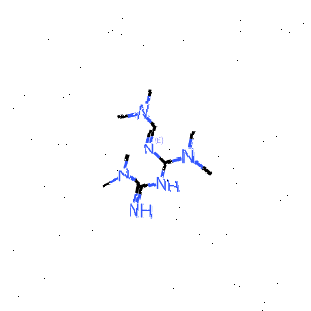 CN(C)/C=N/C(NC(=N)N(C)C)N(C)C